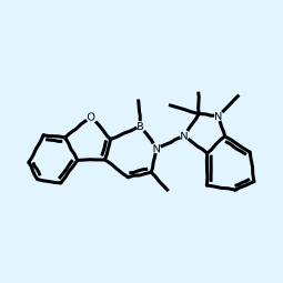 CB1c2oc3ccccc3c2C=C(C)N1N1c2ccccc2N(C)C1(C)C